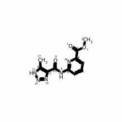 COC(=O)c1cccc(NC(=O)c2nn[nH]c2C)n1